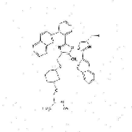 CCCOC(CO[C@@H]1CCC[C@H](OCc2nc(-c3ccccc3-c3ccc4ccccc4c3)oc2C)C1)C(=O)O.ICc1coc(-c2ccc3ccccc3c2)n1